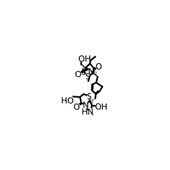 CCC1C(=O)[C@]2(CC3C=CC(C[C@@]4(C(O)NC)SCC(CO)C(=O)N4C)=CC3)SS[C@@]1(CO)C(=O)N2C